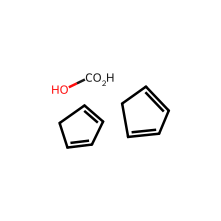 C1=CCC=C1.C1=CCC=C1.O=C(O)O